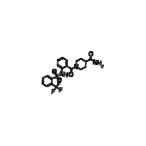 NC(=O)C1CCN(C(=O)c2ccccc2NS(=O)(=O)c2ccccc2C(F)(F)F)CC1